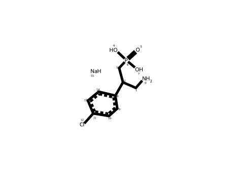 NCC(CP(=O)(O)O)c1ccc(Cl)cc1.[NaH]